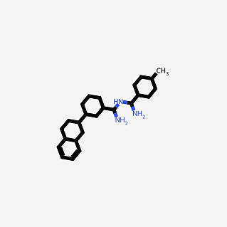 CC1CCC(C(N)NC(N)C2CCCC(C3CCC4C=CC=CC4C3)C2)CC1